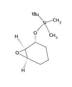 CC(C)(C)[Si](C)(C)O[C@@H]1CCC[C@H]2O[C@H]21